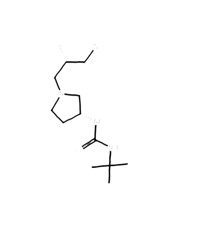 C[C@H](CN)CN1CC[C@@H](NC(=O)NC(C)(C)C)C1